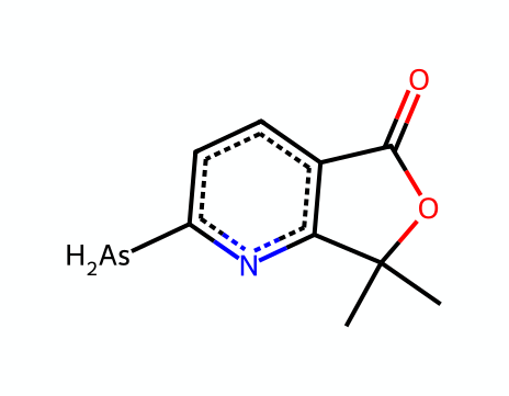 CC1(C)OC(=O)c2ccc([AsH2])nc21